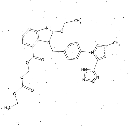 CCOC(=O)OCOC(=O)c1cccc2c1N(Cc1ccc(-n3cc(C)cc3-c3nnn[nH]3)cc1)C(OCC)N2